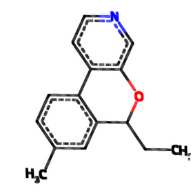 CCC1Oc2cnccc2-c2ccc(C)cc21